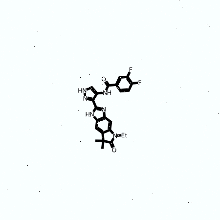 CCN1C(=O)C(C)(C)c2cc3[nH]c(-c4n[nH]cc4NC(=O)c4ccc(F)c(F)c4)nc3cc21